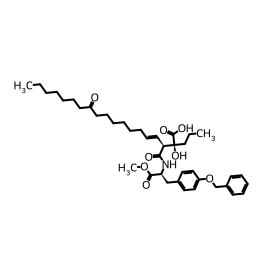 CCCCCCCC(=O)CCCCCCC=C[C@H](C(=O)N[C@@H](Cc1ccc(OCc2ccccc2)cc1)C(=O)OC)[C@@](O)(CCC)C(=O)O